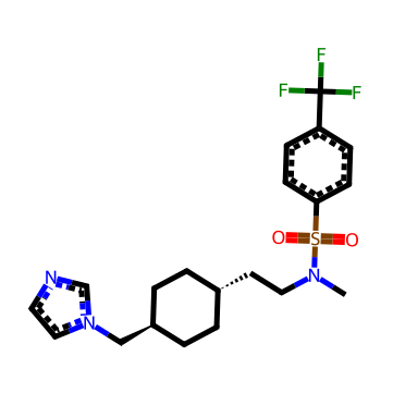 CN(CC[C@H]1CC[C@H](Cn2ccnc2)CC1)S(=O)(=O)c1ccc(C(F)(F)F)cc1